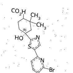 CC1(C)C[C@@](O)(c2ncc(-c3cccc(Br)n3)s2)CCC1C(=O)O